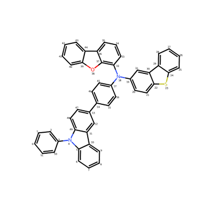 c1ccc(-n2c3ccccc3c3cc(-c4ccc(N(c5ccc6sc7ccccc7c6c5)c5cccc6c5oc5ccccc56)cc4)ccc32)cc1